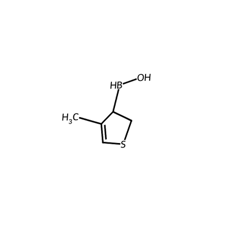 CC1=CSCC1BO